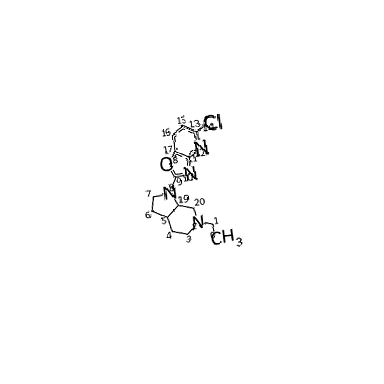 CCN1CCC2CCN(c3nc4nc(Cl)ccc4o3)C2C1